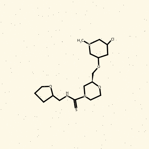 CN1CC(Cl)CC(OC[C@@H]2CN(C(=S)NCC3CCCO3)CCO2)C1